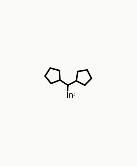 [In][CH](C1CCCC1)C1CCCC1